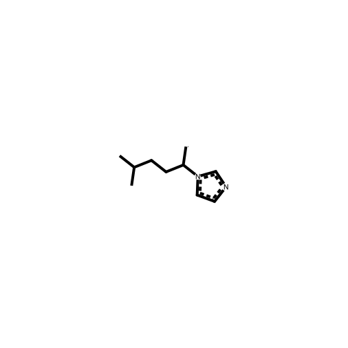 [CH2]C(CCC(C)C)n1ccnc1